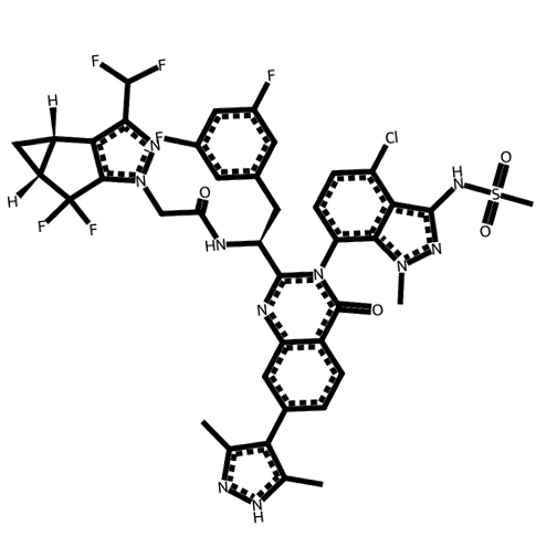 Cc1n[nH]c(C)c1-c1ccc2c(=O)n(-c3ccc(Cl)c4c(NS(C)(=O)=O)nn(C)c34)c([C@H](Cc3cc(F)cc(F)c3)NC(=O)Cn3nc(C(F)F)c4c3C(F)(F)[C@@H]3C[C@H]43)nc2c1